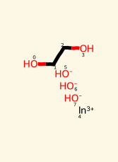 OCCO.[In+3].[OH-].[OH-].[OH-]